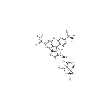 CN(C)C(=O)c1ccc2c(c1)Cc1cc(C(=O)N(C)C)ccc1C2(CCNCC(=O)N1C(C#N)C[C@@H]2C[C@@H]21)c1nn[nH]n1